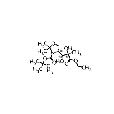 CCOC(=O)[C@](C)(O)[C@H](O)[C@H]1COC(C)(C)N1C(=O)OC(C)(C)C